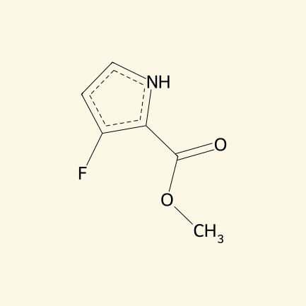 COC(=O)c1[nH]ccc1F